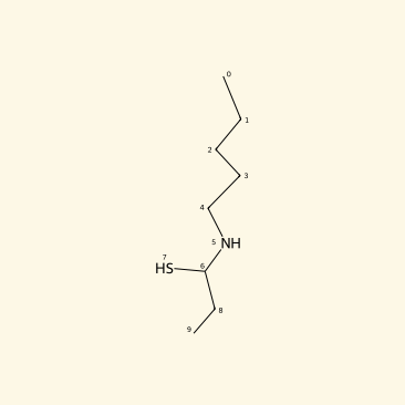 CCCCCNC(S)CC